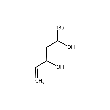 C=CC(O)CC(O)C(C)(C)C